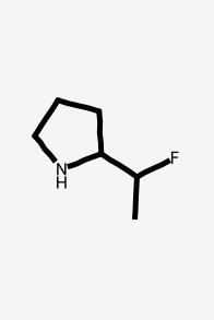 CC(F)C1CCCN1